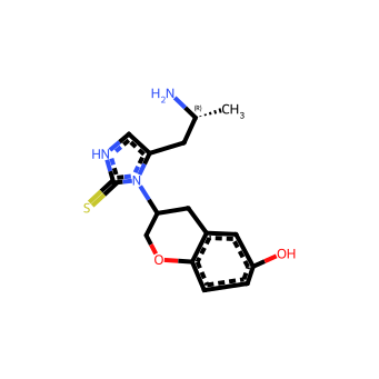 C[C@@H](N)Cc1c[nH]c(=S)n1C1COc2ccc(O)cc2C1